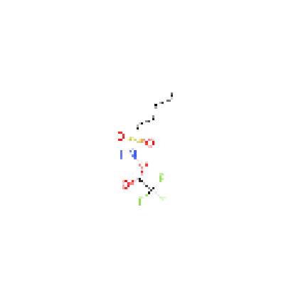 CCCCCS(=O)(=O)NOC(=O)C(F)(F)F